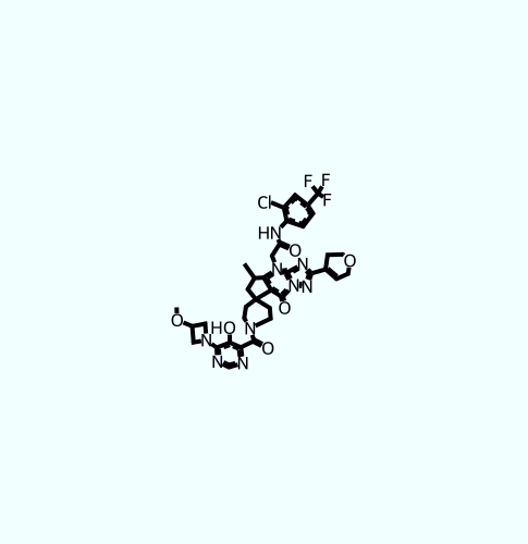 COC1CN(c2ncnc(C(=O)N3CCC4(CC3)CC(C)c3c4c(=O)n4nc(C5=CCOCC5)nc4n3CC(=O)Nc3ccc(C(F)(F)F)cc3Cl)c2O)C1